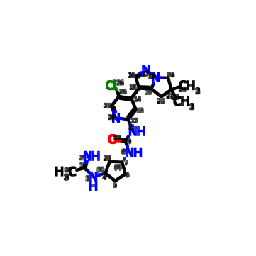 CC(=N)N[C@@H]1CC[C@@H](NC(=O)Nc2cc(-c3cnn4c3CC(C)(C)C4)c(Cl)cn2)C1